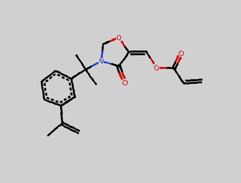 C=CC(=O)OC=C1OCN(C(C)(C)c2cccc(C(=C)C)c2)C1=O